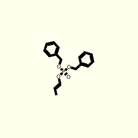 C/C=C/OP(=O)(OCc1ccccc1)OCc1ccccc1